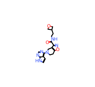 O=C(NCCC1COC1)c1noc2c1CN(c1ncnc3[nH]ccc13)CC2